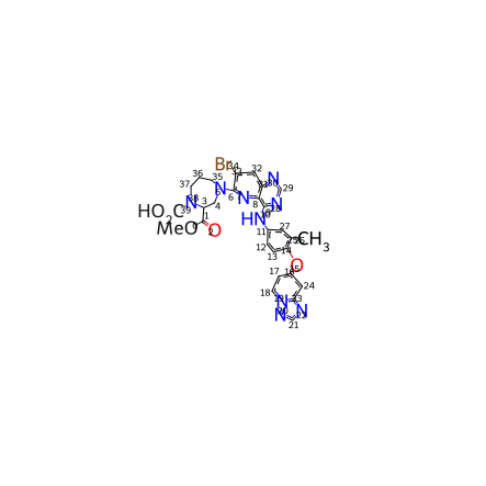 COC(=O)C1CN(c2nc3c(Nc4ccc(Oc5ccn6ncnc6c5)c(C)c4)ncnc3cc2Br)CCCN1C(=O)O